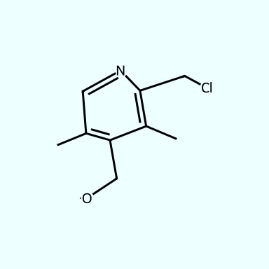 Cc1cnc(CCl)c(C)c1C[O]